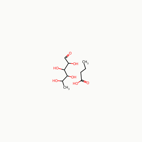 CC(O)C(O)C(O)C(O)C=O.CCCC(=O)O